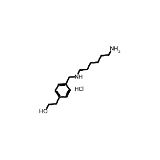 Cl.NCCCCCCNCc1ccc(CCO)cc1